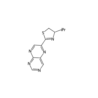 CC(C)C1CSC(c2cnc3ncncc3n2)=N1